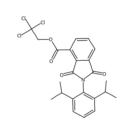 CC(C)c1cccc(C(C)C)c1N1C(=O)c2cccc(C(=O)OCC(Cl)(Cl)Cl)c2C1=O